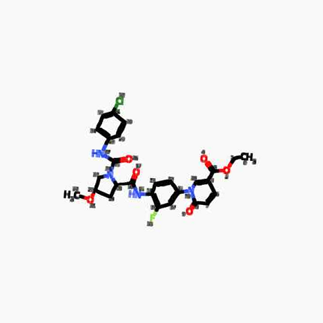 CCOC(=O)c1ccc(=O)n(-c2ccc(NC(=O)[C@H]3C[C@@H](OC)CN3C(=O)Nc3ccc(Cl)cc3)c(F)c2)c1